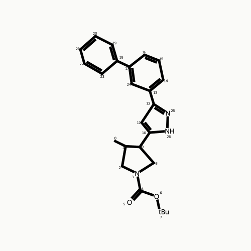 CC1CN(C(=O)OC(C)(C)C)CC1c1cc(-c2cccc(-c3ccccc3)c2)n[nH]1